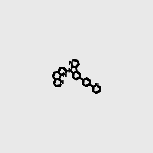 c1ccc(-c2ccc(-c3ccc4c(c3)c3cccnc3n4-c3ccc4ccc5cccnc5c4n3)cc2)nc1